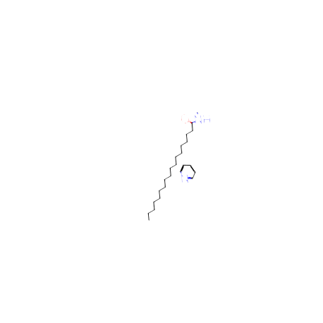 CCCCCCCCCCCCCCCCCC(=O)NC.c1ccncc1